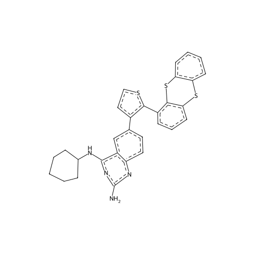 Nc1nc(NC2CCCCC2)c2cc(-c3ccsc3-c3cccc4c3Sc3ccccc3S4)ccc2n1